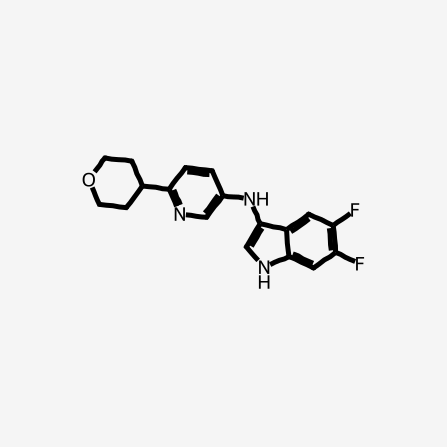 Fc1cc2[nH]cc(Nc3ccc(C4CCOCC4)nc3)c2cc1F